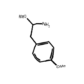 COc1ccc(CC(N)OC)cc1